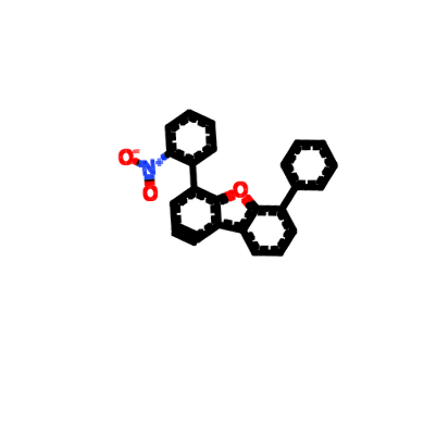 O=[N+]([O-])c1ccccc1-c1cc#cc2c1oc1c(-c3ccccc3)cccc12